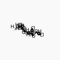 CC(C)(C)[C@@H](NC(=O)CNC(=O)COc1ccc([C@]2(c3ccc(Cl)cc3)NC(=O)[C@@H]2SCC(O)c2ccc(Cl)cc2)cc1)C(=O)O